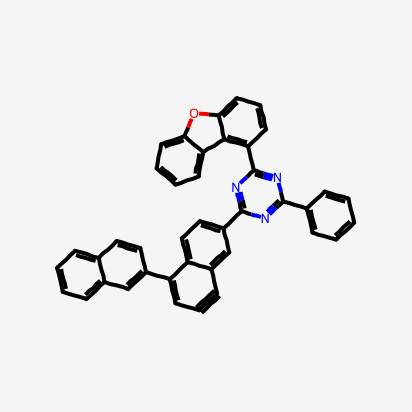 c1cc(-c2ccc3ccccc3c2)c2ccc(-c3nc(-c4ccccc4)nc(-c4cccc5oc6ccccc6c45)n3)cc2c#1